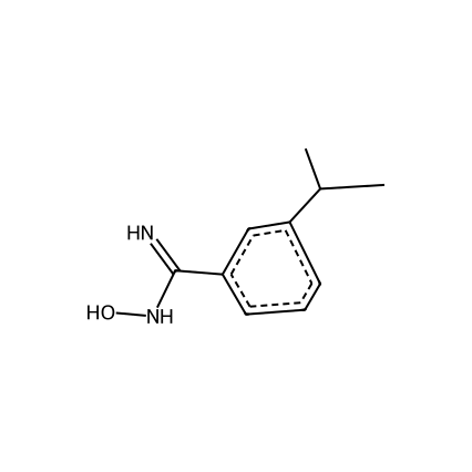 CC(C)c1cccc(C(=N)NO)c1